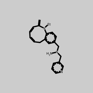 C=C1/C=C\C=C/Cc2cc(CN(N)Cc3cccnc3)ccc2N1CC